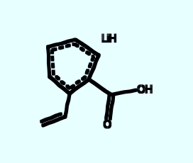 C=Cc1ccccc1C(=O)O.[LiH]